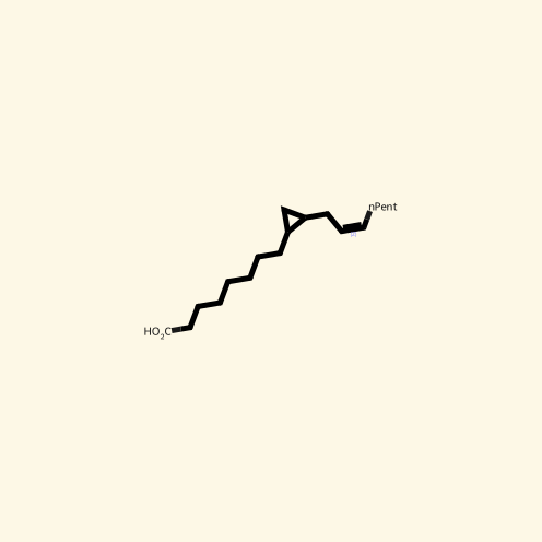 CCCCC/C=C\CC1CC1CCCCCCCC(=O)O